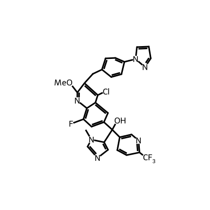 COc1nc2c(F)cc(C(O)(c3ccc(C(F)(F)F)nc3)c3cncn3C)cc2c(Cl)c1Cc1ccc(-n2cccn2)cc1